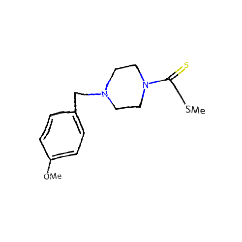 COc1ccc(CN2CCN(C(=S)SC)CC2)cc1